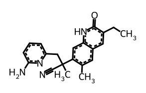 CCc1cc2cc(C)c(C(C)(C#N)Cc3cccc(N)n3)cc2[nH]c1=O